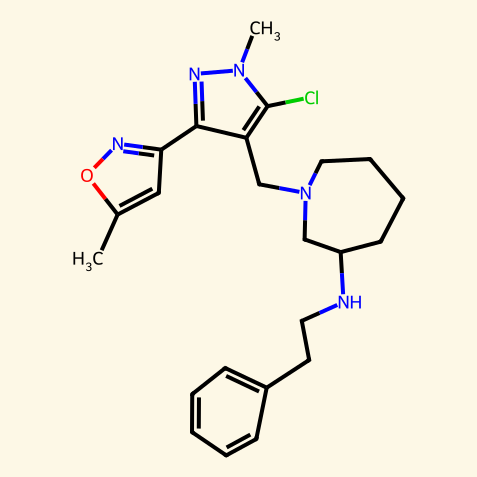 Cc1cc(-c2nn(C)c(Cl)c2CN2CCCCC(NCCc3ccccc3)C2)no1